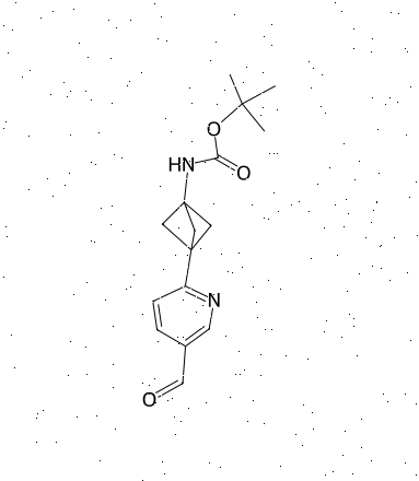 CC(C)(C)OC(=O)NC12CC(c3ccc(C=O)cn3)(C1)C2